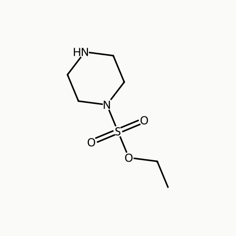 CCOS(=O)(=O)N1CCNCC1